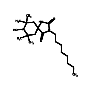 CCCCCCCCN1C(=O)NC2(CC(C)(C)N(O)C(C)(C)C2)C1=O